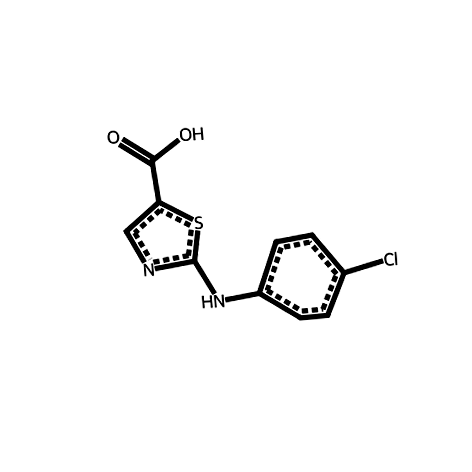 O=C(O)c1cnc(Nc2ccc(Cl)cc2)s1